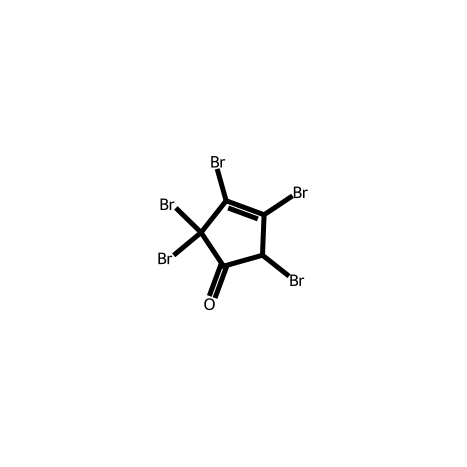 O=C1C(Br)C(Br)=C(Br)C1(Br)Br